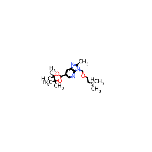 Cc1nc2cc(C3OC(C)(C)C(C)(C)O3)cnc2n1COCC[SiH](C)C